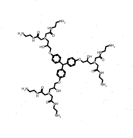 NCCNC(=O)CN(CC(=O)NCCN)CC(O)COc1ccc(C(c2ccc(OCC(O)CN(CC(=O)NCCN)CC(=O)NCCN)cc2)c2ccc(OCC(O)CN(CC(=O)NCCN)CC(=O)NCCN)cc2)cc1